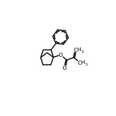 C=C(C)C(=O)OC12CCC(CC1c1ccccc1)C2